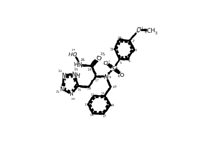 COc1ccc(S(=O)(=O)N(Cc2ccccc2)C(Cc2nnn[nH]2)C(=O)NO)cc1